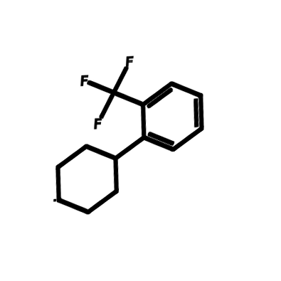 FC(F)(F)c1ccccc1C1CC[CH]CC1